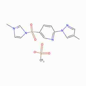 Cc1cnn(-c2ccc(S(=O)(=O)n3cc[n+](C)c3)cn2)c1.O=S(=O)([O-])C(F)(F)F